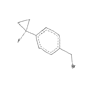 FC1(c2ccc(CBr)cc2)CC1